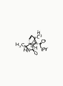 CC(C)C(=O)[C@@H]1[C@H]2C(=O)N[C@@H](C)[C@]23C=C[C@]1(C)O3